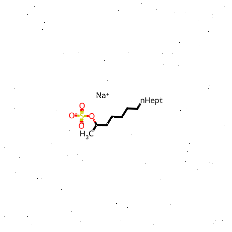 CCCCCCCCCCCCC(C)OS(=O)(=O)[O-].[Na+]